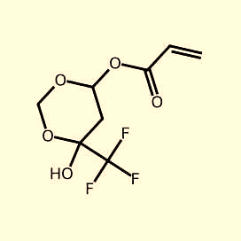 C=CC(=O)OC1CC(O)(C(F)(F)F)OCO1